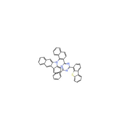 c1ccc(-c2nc(-c3ccc4ccccc4c3-n3c4ccccc4c4cc5ccccc5cc43)nc(-c3cccc4c3sc3ccccc34)n2)cc1